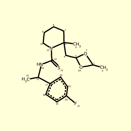 CC1OC(CC2(C)CCCCN2C(=S)NC(C)c2ccc(F)cc2)O1